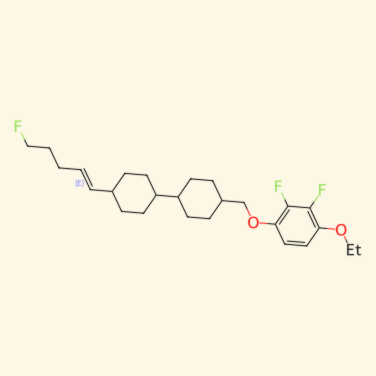 CCOc1ccc(OCC2CCC(C3CCC(/C=C/CCCF)CC3)CC2)c(F)c1F